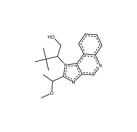 COC(C)c1nc2cnc3ccccc3c2n1C(CO)C(C)(C)C